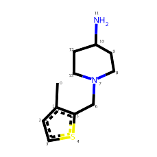 Cc1ccsc1CN1CCC(N)CC1